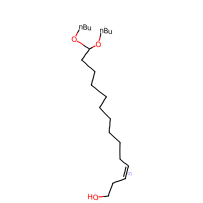 CCCCOC(CCCCCCCCC/C=C\CCO)OCCCC